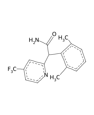 Cc1cccc(C)c1C(C(N)=O)c1cc(C(F)(F)F)ccn1